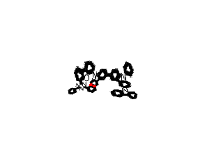 c1ccc(-c2nc(-c3ccccc3)nc(-c3cccc4c3oc3c(-n5c6ccccc6c6cc(-c7ccc8c(c7)c7cc(-n9c%10ccccc%10c%10ccccc%109)ccc7n8-c7ccccc7)ccc65)cccc34)n2)cc1